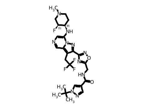 CN1CC[C@@H](Nc2cncc3c(CC(F)(F)F)c(-c4noc(CNC(=O)c5cnn(C(C)(C)C)c5)n4)nn23)[C@@H](F)C1